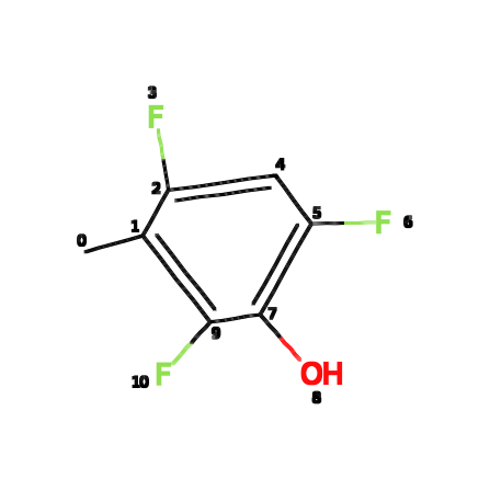 Cc1c(F)cc(F)c(O)c1F